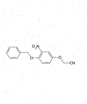 N#CCOc1ccc(OCc2ccccc2)c([N+](=O)[O-])c1